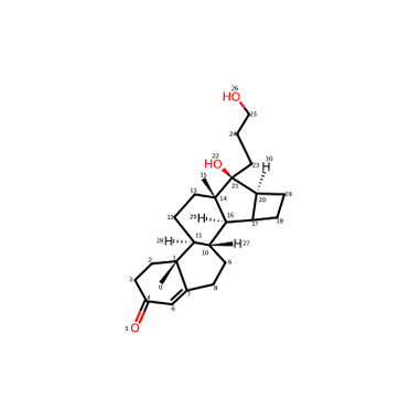 C[C@]12CCC(=O)C=C1CC[C@@H]1[C@@H]2CC[C@@]2(C)[C@H]1C1CC[C@@H]1[C@@]2(O)CCCO